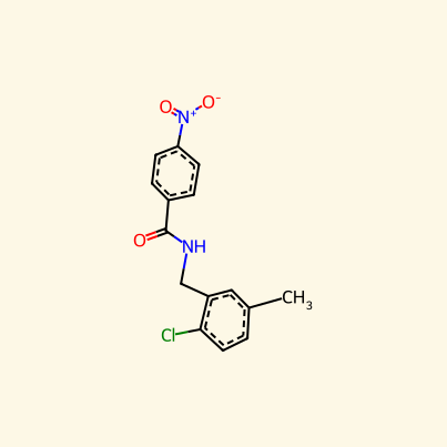 Cc1ccc(Cl)c(CNC(=O)c2ccc([N+](=O)[O-])cc2)c1